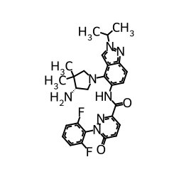 CC(C)n1cc2c(N3C[C@H](N)C(C)(C)C3)c(NC(=O)c3ccc(=O)n(-c4c(F)cccc4F)n3)ccc2n1